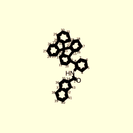 O=C(Nc1ccccc1-c1cccc2c1-c1ccccc1C21c2ccccc2-c2ccccc21)c1ccc2ccccc2c1